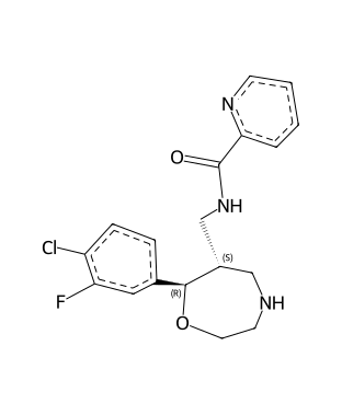 O=C(NC[C@@H]1CNCCO[C@H]1c1ccc(Cl)c(F)c1)c1ccccn1